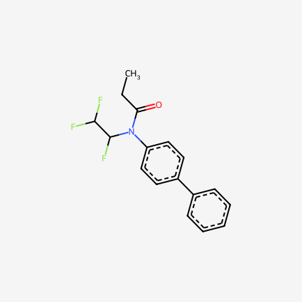 CCC(=O)N(c1ccc(-c2ccccc2)cc1)C(F)C(F)F